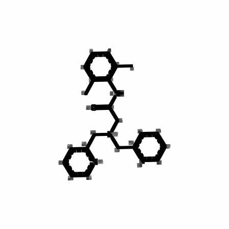 Cc1cccc(C)c1NC(=O)CN(Cc1ccccn1)Cc1ccccn1